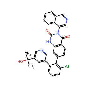 CC(C)(O)c1cncc(-c2cccc(Cl)c2-c2ccc3c(=O)n(-c4cncc5ccccc45)c(=O)[nH]c3c2)c1